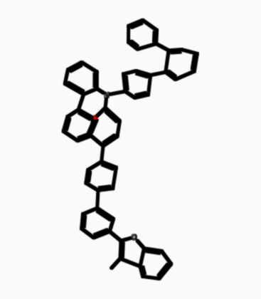 Cc1c(-c2cccc(-c3ccc(-c4ccc(N(c5ccc(-c6ccccc6-c6ccccc6)cc5)c5ccccc5-c5ccccc5)cc4)cc3)c2)oc2ccccc12